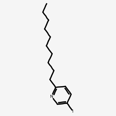 CCCCCCCCCCc1ccc(I)cn1